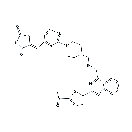 CC(=O)c1ccc(-c2cc3ccccc3c(CNCC3CCN(c4nccc(/C=C5\SC(=O)NC5=O)n4)CC3)n2)s1